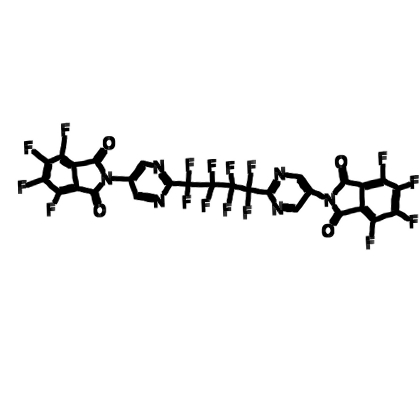 O=C1c2c(F)c(F)c(F)c(F)c2C(=O)N1c1cnc(C(F)(F)C(F)(F)C(F)(F)C(F)(F)c2ncc(N3C(=O)c4c(F)c(F)c(F)c(F)c4C3=O)cn2)nc1